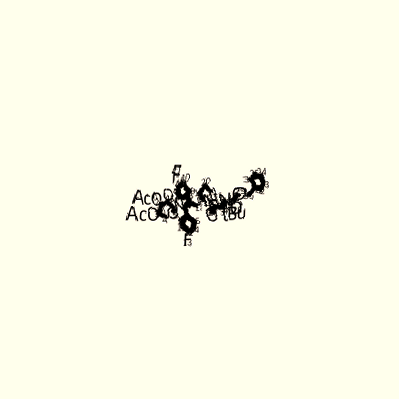 CC(=O)O[C@H]1[C@H](OC(C)=O)COC(n2c(-c3ccc(F)cc3)c(C[C@@H]3CCCN3C(=O)[C@@H](NC(=O)OCc3ccccc3)C(C)(C)C)c3ccc(F)cc32)[C@@H]1OC(C)=O